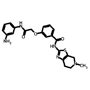 CN1CCc2nc(NC(=O)c3cccc(OCC(=O)Nc4cccc(N)c4)c3)sc2C1